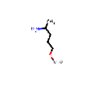 CC(N)CCCOC=O